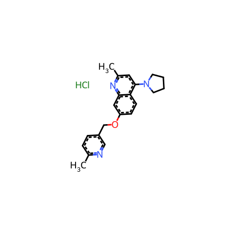 Cc1ccc(COc2ccc3c(N4CCCC4)cc(C)nc3c2)cn1.Cl